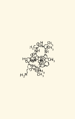 CC(C)C[C@@H]1NC(=O)[C@H](C)NC(=O)C(NC(=O)[C@H](CO)NC(=O)[C@@H](CCCCN)NC(=O)[C@@H](CC(C)C)NC(=O)[C@@H](N)Cc2ccccc2)[C@H](C(N)O)NC(=O)[C@H](CC(C)C)NC1=O